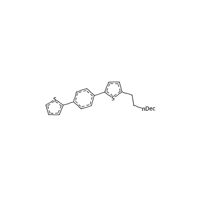 CCCCCCCCCCCCc1ccc(-c2ccc(-c3cccs3)cc2)s1